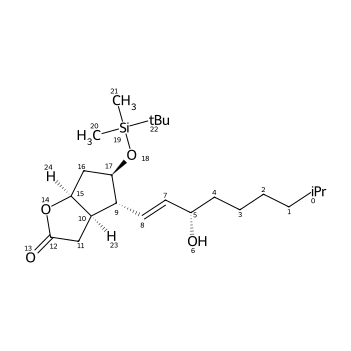 CC(C)CCCC[C@H](O)/C=C/[C@@H]1[C@H]2CC(=O)O[C@H]2C[C@H]1O[Si](C)(C)C(C)(C)C